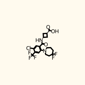 O=C(N[C@H]1C[C@H](C(=O)O)C1)c1cc(Cl)c(C(F)(F)F)cc1N1CCCC(F)(F)CC1